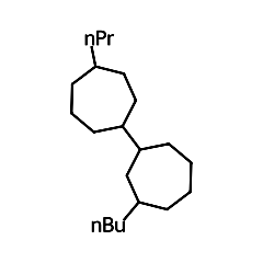 CCCCC1CCCCC(C2CCCC(CCC)CC2)C1